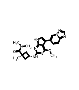 COc1nc(N[C@H]2C[C@](C)(C(=O)N(C)C)C2)nc2[nH]cc(-c3ccc4ncnn4c3)c12